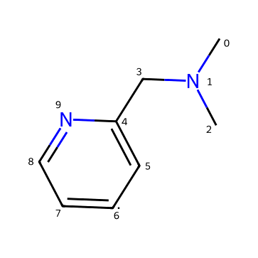 CN(C)Cc1c[c]ccn1